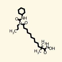 CCCN(C(=O)CCCCCCCCCC(C)(C)C(=O)NO)C(=O)NC1CCCCC1